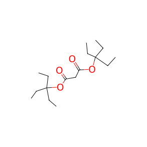 CCC(CC)(CC)OC(=O)CC(=O)OC(CC)(CC)CC